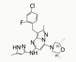 Cc1cc(Nc2cc(N3C[C@@H](C)O[C@@H](C)C3)n3nc(C)c(Cc4ccc(Cl)cc4F)c3n2)n[nH]1